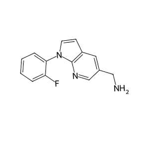 NCc1cnc2c(ccn2-c2ccccc2F)c1